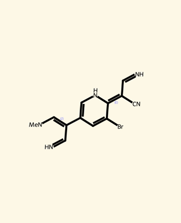 CN/C=C(\C=N)C1=CN/C(=C(/C#N)C=N)C(Br)=C1